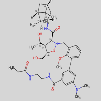 BCC(=O)NCCNC(=O)c1cc(-c2cccc(CN3O[C@@H](CO)[C@@H]([C@H](C)O)[C@H]3C(=O)N[C@H]3C[C@H]4C[C@@H]([C@@H]3C)C4(C)C)c2OC)cc(N(C)C)c1